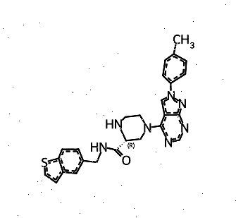 Cc1ccc(-n2cc3c(N4CCN[C@@H](C(=O)NCc5ccc6sccc6c5)C4)ncnc3n2)cc1